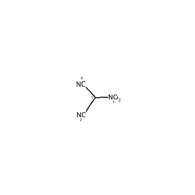 N#CC(C#N)[N+](=O)[O-]